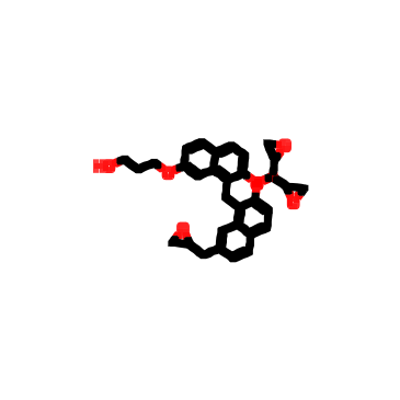 OCCCOc1ccc2ccc(OCC3CO3)c(Cc3c(OCC4CO4)ccc4ccc(CC5CO5)cc34)c2c1